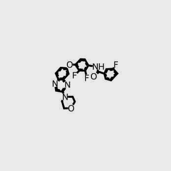 O=C(Nc1ccc(Oc2ccc3ncc(N4CCOCC4)nc3c2)c(F)c1F)c1cccc(F)c1